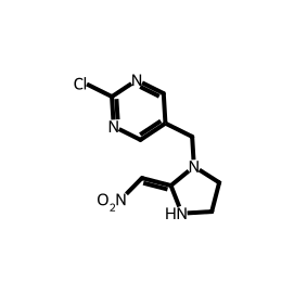 O=[N+]([O-])C=C1NCCN1Cc1cnc(Cl)nc1